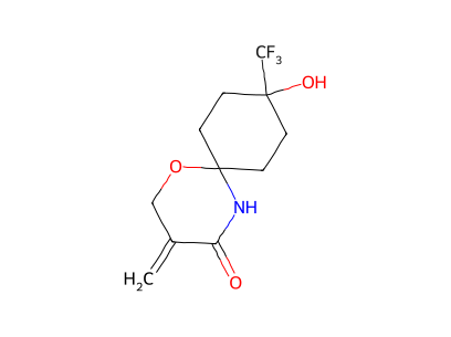 C=C1COC2(CCC(O)(C(F)(F)F)CC2)NC1=O